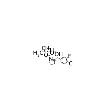 CC(C)(C)OC(=O)N1CCC[C@H]1C(O)c1ccc(Cl)c(F)c1